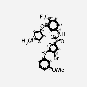 COc1cccc(Sc2sc(S(=O)(=O)Nc3ccc(C(F)(F)F)c(OC4CCN(C)C4)c3)cc2Br)c1